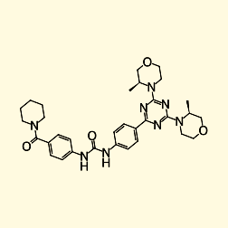 C[C@H]1COCCN1c1nc(-c2ccc(NC(=O)Nc3ccc(C(=O)N4CCCCC4)cc3)cc2)nc(N2CCOC[C@@H]2C)n1